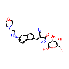 N#C/C(=C\c1ccc2cc(NCCN3CCOCC3)ccc2c1)C(=O)N[C@H]1C(O)O[C@H](CO)[C@@H](O)[C@@H]1O